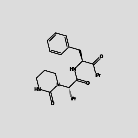 CC(C)C(=O)[C@H](Cc1ccccc1)NC(=O)[C@H](C(C)C)N1CCCNC1=O